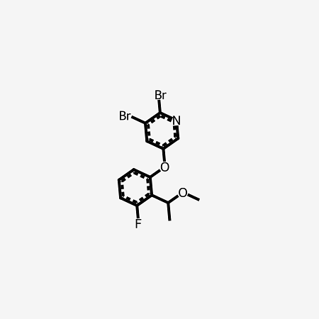 COC(C)c1c(F)cccc1Oc1cnc(Br)c(Br)c1